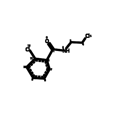 O=C(NCCCl)c1ccccc1Cl